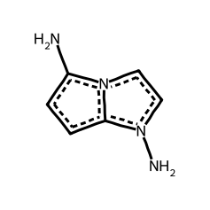 Nc1ccc2n(N)ccn12